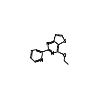 CCOc1nc(-c2ccccn2)nc2ccsc12